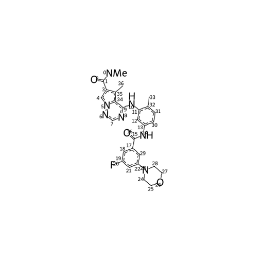 CNC(=O)c1cn2ncnc(Nc3cc(NC(=O)c4cc(F)cc(N5CCOCC5)c4)ccc3C)c2c1C